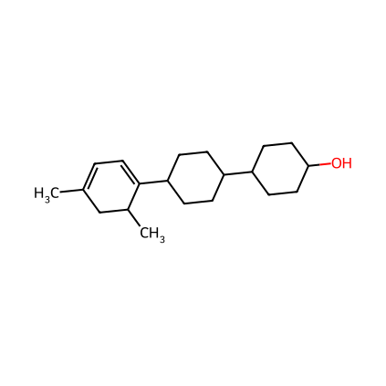 CC1=CC=C(C2CCC(C3CCC(O)CC3)CC2)C(C)C1